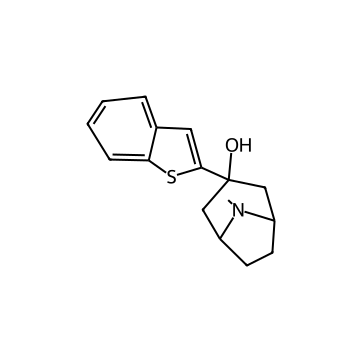 CN1C2CCC1CC(O)(c1cc3ccccc3s1)C2